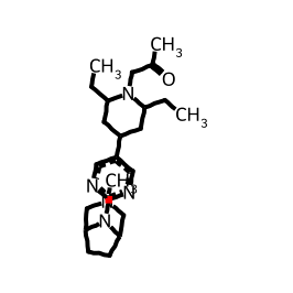 CCC1CC(c2cnc(N3C4CCC3CN(C)C4)nc2)CC(CC)N1CC(C)=O